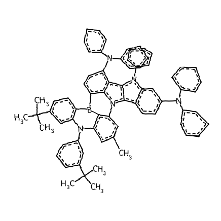 Cc1cc2c3c(c1)-n1c4c(ccc(N(c5ccccc5)c5ccccc5)c4c4c1c1ccc(N(c5ccccc5)c5ccccc5)cc1n4-c1ccccc1)B3c1ccc(C(C)(C)C)cc1N2c1cccc(C(C)(C)C)c1